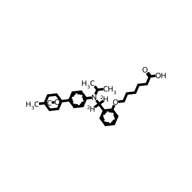 [2H]C([2H])(c1ccccc1OCCCCCC(=O)O)N(c1ccc(C23CCC(C)(CC2)CC3)cc1)C(C)C